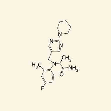 Cc1cc(F)ccc1N(Cc1cnc(N2CCCCC2)nc1)[C@@H](C)C(N)=O